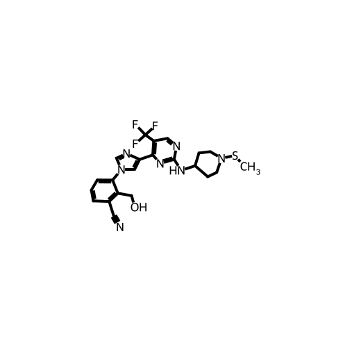 CSN1CCC(Nc2ncc(C(F)(F)F)c(-c3cn(-c4cccc(C#N)c4CO)cn3)n2)CC1